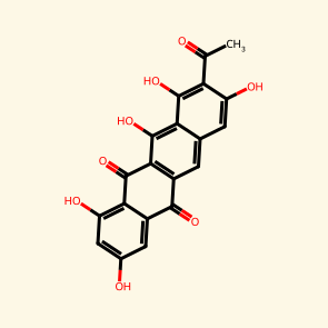 CC(=O)c1c(O)cc2cc3c(c(O)c2c1O)C(=O)c1c(O)cc(O)cc1C3=O